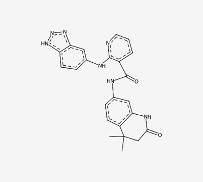 CC1(C)CC(=O)Nc2cc(NC(=O)c3cccnc3Nc3ccc4[nH]nnc4c3)ccc21